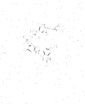 COc1cnc2c(-c3nc4cc(F)c(O[C@@H](C)COC(=O)Nc5cnc(OC[C@@H](C)O)nc5)nc4s3)cc(C)cc2n1